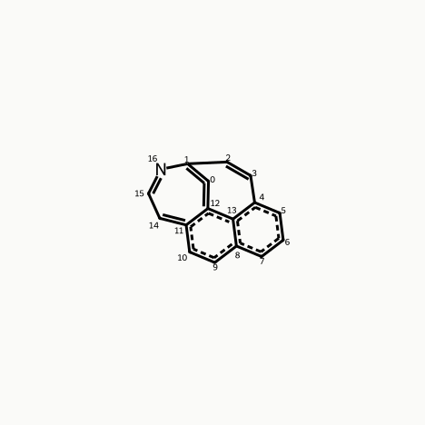 C1=C2C=Cc3cccc4ccc(c=1c34)=CC=N2